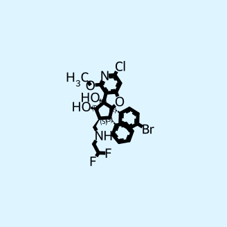 COc1nc(Cl)cc2c1[C@]1(O)[C@H](O)[C@H](CNCC(F)F)[C@@H](c3ccccc3)[C@]1(c1ccc(Br)cc1)O2